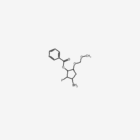 BC1CC(OCOC)C(OC(=O)c2ccccc2)C1F